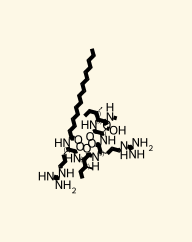 CCCCCCCCCCCCCCCC(=O)N[C@@H](CCCNC(=N)N)C(=O)N[C@H](C(=O)N[C@@H](CCCNC(=N)N)C(=O)N[C@@H](CO)C(=O)N[C@H](C(=O)NC)[C@@H](C)CC)[C@@H](C)CC